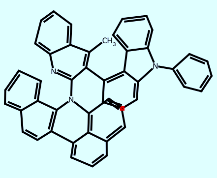 Cc1c(-c2cccc3c2c2ccccc2n3-c2ccccc2)c(N2c3c(ccc4ccccc34)-c3cccc4cccc2c34)nc2ccccc12